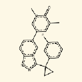 Cc1cc(-c2ccc3nnc(C4(c5cccc(F)c5)CC4)n3c2)cn(C)c1=O